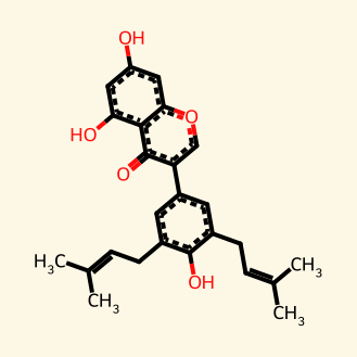 CC(C)=CCc1cc(-c2coc3cc(O)cc(O)c3c2=O)cc(CC=C(C)C)c1O